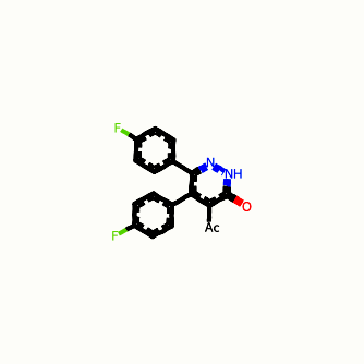 CC(=O)c1c(-c2ccc(F)cc2)c(-c2ccc(F)cc2)n[nH]c1=O